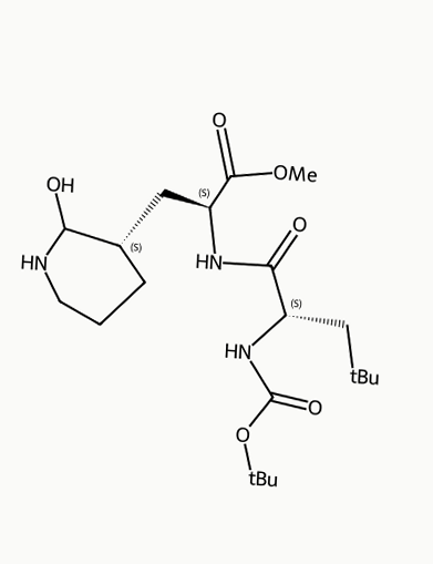 COC(=O)[C@H](C[C@@H]1CCCNC1O)NC(=O)[C@H](CC(C)(C)C)NC(=O)OC(C)(C)C